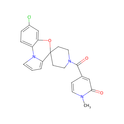 Cn1ccc(C(=O)N2CCC3(CC2)Oc2cc(Cl)ccc2-n2cccc23)cc1=O